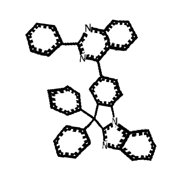 c1ccc(-c2nc(-c3ccc4c(c3)C(c3ccccc3)(c3ccccc3)c3nc5ccccc5n3-4)c3ccccc3n2)cc1